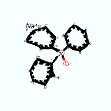 [Na+].[O-][Si](c1ccccc1)(c1ccccc1)c1ccccc1